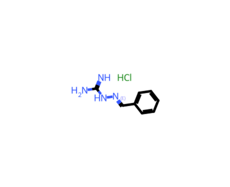 Cl.N=C(N)N/N=C/c1ccccc1